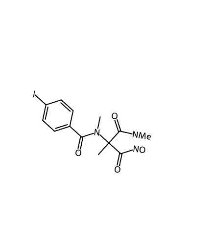 CNC(=O)C(C)(C(=O)N=O)N(C)C(=O)c1ccc(I)cc1